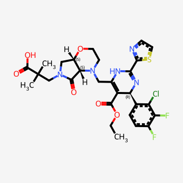 CCOC(=O)C1=C(CN2CCO[C@H]3CN(CC(C)(C)C(=O)O)C(=O)[C@H]32)NC(c2nccs2)=N[C@H]1c1ccc(F)c(F)c1Cl